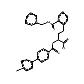 O=C(CC(CCc1ccccc1C(=O)NCc1ccccc1)C(=O)O)c1ccc(-c2ccc(Cl)cc2)cc1